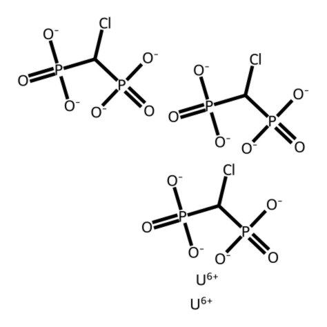 O=P([O-])([O-])C(Cl)P(=O)([O-])[O-].O=P([O-])([O-])C(Cl)P(=O)([O-])[O-].O=P([O-])([O-])C(Cl)P(=O)([O-])[O-].[U+6].[U+6]